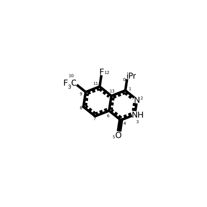 CC(C)c1n[nH]c(=O)c2ccc(C(F)(F)F)c(F)c12